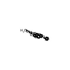 CCOCCOC(=O)O[C@@H]1CC[C@H]2[C@@H]3CCc4cc(OCc5ccccc5)ccc4[C@H]3CC[C@]12C